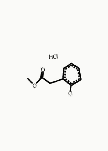 COC(=O)Cc1ccccc1Cl.Cl